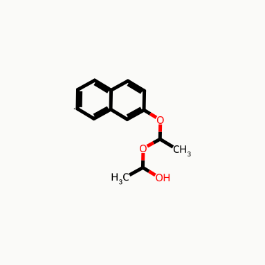 CC(O)OC(C)Oc1ccc2cc[c]cc2c1